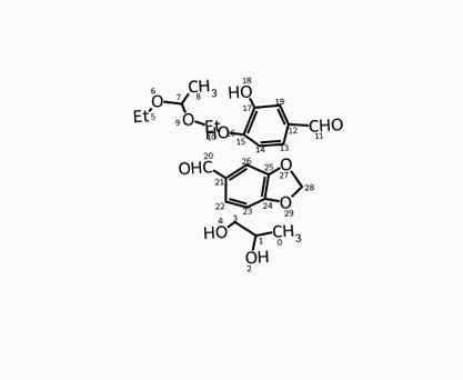 CC(O)CO.CCOC(C)OCC.O=Cc1ccc(O)c(O)c1.O=Cc1ccc2c(c1)OCO2